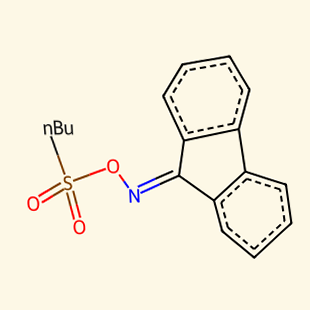 CCCCS(=O)(=O)ON=C1c2ccccc2-c2ccccc21